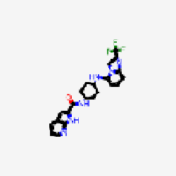 O=C(N[C@H]1CC[C@@H](Nc2cccc3nc(C(F)(F)F)cn23)CC1)c1cc2cccnc2[nH]1